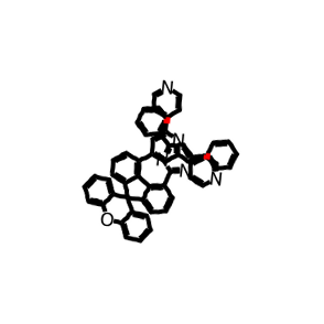 c1ccc(-c2cc(-c3ccccc3)nc(-c3cccc4c3-c3c(-c5cc(-c6ccncc6)nc(-c6ccncc6)c5)cccc3C43c4ccccc4Oc4ccccc43)n2)cc1